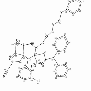 CC1NC(COCCOCc2ccccc2)C(CCC(c2ccccc2)c2ccccc2)(C(=O)O)C(c2cccc(Cl)c2)C1(CCC#N)C(=O)O